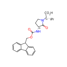 CC(C)[C@@H](C(=O)O)N1CC[C@@H](NC(=O)OCC2c3ccccc3-c3ccccc32)C1=O